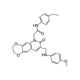 CCc1ccc(NC(=O)Cn2c(=O)c(CNc3ccc(OC)cc3)cc3cc4c(cc32)OCCO4)cc1